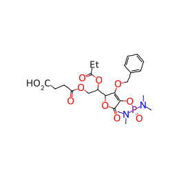 CCC(=O)OC(COC(=O)CCC(=O)O)C1OC(=O)C(OP(=O)(N(C)C)N(C)C)=C1OCc1ccccc1